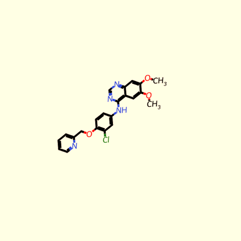 COc1cc2ncnc(Nc3ccc(OCc4ccccn4)c(Cl)c3)c2cc1OC